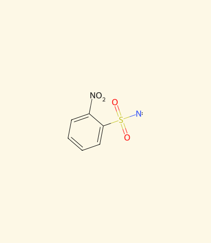 [N]S(=O)(=O)c1ccccc1[N+](=O)[O-]